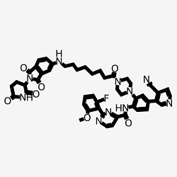 COc1cccc(F)c1-c1nccc(C(=O)Nc2ccc(-c3cnccc3C#N)cc2N2CCN(C(=O)CCCCCCCNc3ccc4c(c3)C(=O)N(C3CCC(=O)NC3=O)C4=O)CC2)n1